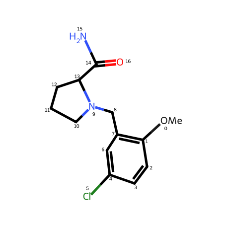 COc1ccc(Cl)cc1CN1CCCC1C(N)=O